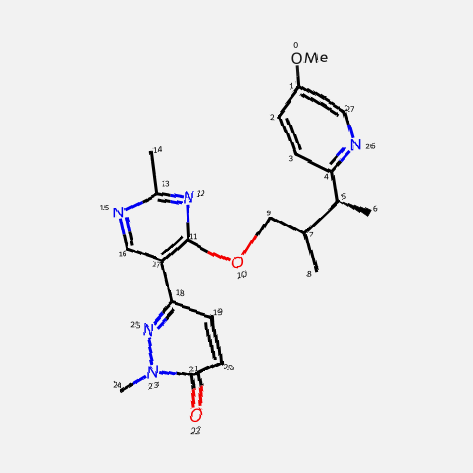 COc1ccc([C@@H](C)C(C)COc2nc(C)ncc2-c2ccc(=O)n(C)n2)nc1